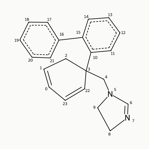 C1=CCC(CN2C=NCC2)(c2ccccc2-c2ccccc2)C=C1